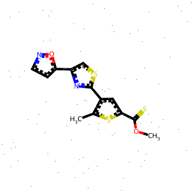 COC(=S)c1cc(-c2nc(-c3ccno3)cs2)c(C)s1